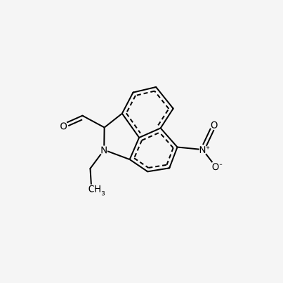 CCN1c2ccc([N+](=O)[O-])c3cccc(c23)C1C=O